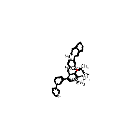 C#C/C=c1/cccc/c1=C/CC(/C=C\CCC(/C(=C\N=C)c1cccc(-c2cccnc2)c1)C(/C(C)=C(/C)C#C)=C(\O)CC)=C/CC